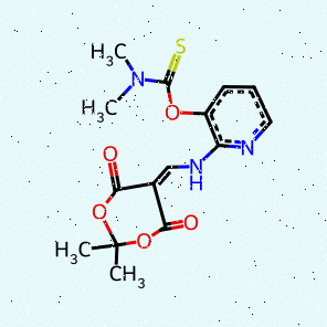 CN(C)C(=S)Oc1cccnc1NC=C1C(=O)OC(C)(C)OC1=O